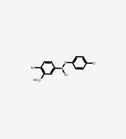 CC(=O)c1ccc(N(Oc2ccc(Cl)cc2)C(C)=O)cc1C(=O)O